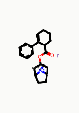 CCC[N+]1(C)C2CCC1CC(OC(=O)C1CCCC=C1c1ccccc1)C2.[I-]